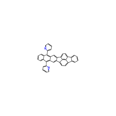 c1ccc(-c2c3ccccc3c(-c3ccccn3)c3cc4c(cc23)-c2ccc3c5c(ccc-4c25)-c2ccccc2-3)nc1